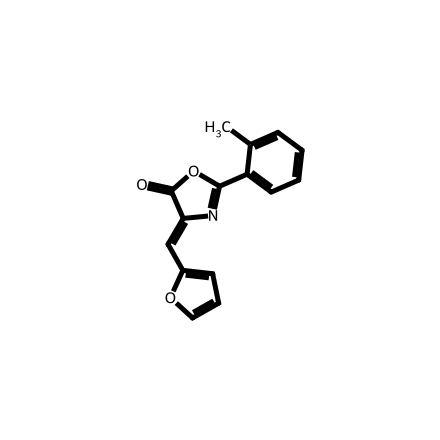 Cc1ccccc1C1=N/C(=C\c2ccco2)C(=O)O1